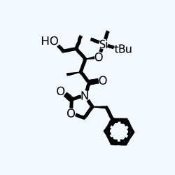 CC(CO)[C@@H](O[Si](C)(C)C(C)(C)C)[C@H](C)C(=O)N1C(=O)OC[C@@H]1Cc1ccccc1